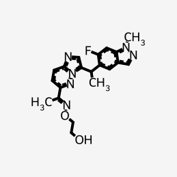 CC(=NOCCO)c1ccc2ncc(C(C)c3cc4cnn(C)c4cc3F)n2n1